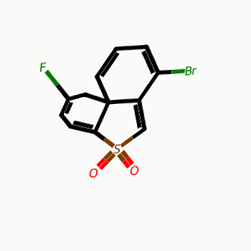 O=S1(=O)C=C2C(Br)=CC=CC23CC(F)=CC=C31